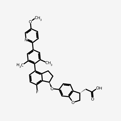 COc1ccc(-c2cc(C)c(-c3ccc(F)c4c3CC[C@H]4Oc3ccc4c(c3)OC[C@H]4CC(=O)O)c(C)c2)nc1